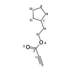 C#CC(=O)OCCC1CCCC1